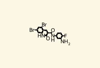 Nc1cc(NC(=O)c2cc3c(Br)cc(Br)cc3[nH]c2=O)ccc1F